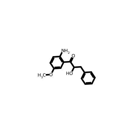 COc1ccc(N)c(C(=O)C(O)Cc2ccccc2)c1